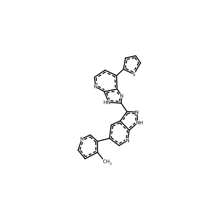 Cc1ccncc1-c1cnc2[nH]nc(-c3nc4c(-c5cccs5)ccnc4[nH]3)c2c1